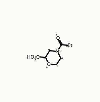 CCC(=O)N1CCOC(C(=O)O)C1